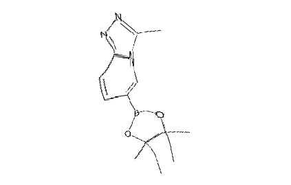 Cc1nnc2ccc(B3OC(C)(C)C(C)(C)O3)cn12